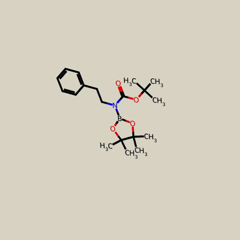 CC(C)(C)OC(=O)N(CCc1ccccc1)B1OC(C)(C)C(C)(C)O1